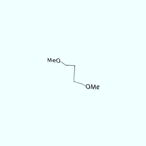 [C]OCCOC